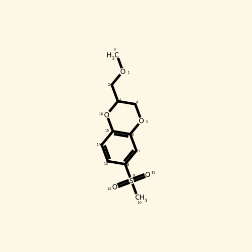 COCC1COc2cc(S(C)(=O)=O)ccc2O1